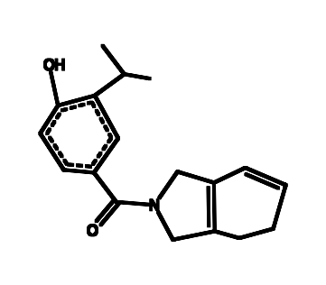 CC(C)c1cc(C(=O)N2CC3=C(CCC=C3)C2)ccc1O